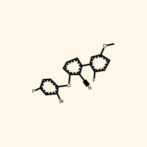 COc1ccc(F)c(-c2cccc(Oc3ccc(F)cc3Br)c2C#N)c1